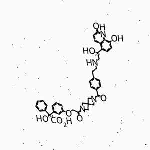 O=C(COc1cccc([C@](O)(C(=O)O)c2ccccc2)c1)N1CC2(C1)CN(C(=O)c1ccc(CCNC[C@H](O)c3ccc(O)c4[nH]c(=O)ccc34)cc1)C2